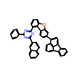 c1ccc(-c2nc(-c3ccc4ccccc4c3)nc(-c3cccc4oc5cc(-c6ccc7c8c(cccc68)-c6ccccc6-7)ccc5c34)n2)cc1